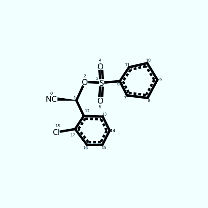 N#C[C@@H](OS(=O)(=O)c1ccccc1)c1ccccc1Cl